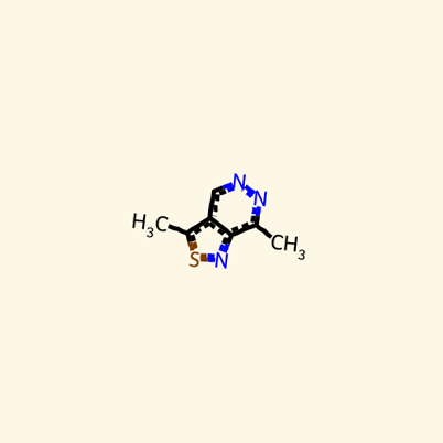 Cc1snc2c(C)nncc12